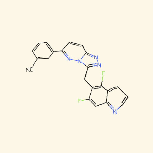 N#Cc1cccc(-c2ccc3nnc(Cc4c(F)cc5ncccc5c4F)n3n2)c1